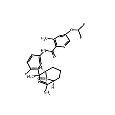 Cc1cc(OC(F)F)cnc1C(=O)Nc1ccc(F)c([C@@]2(C)N=C(N)[C@@H]3CCC[C@H]2S3(=O)=O)c1